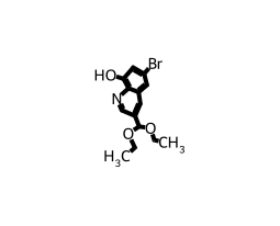 CCOC(OCC)c1cnc2c(O)cc(Br)cc2c1